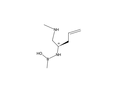 C=CC[C@H](CNC)NB(C)O